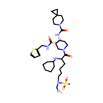 CS(=O)(=O)N(CCCCC(NC1CCCCC1)C(=O)N1CC[C@@H](NC(=O)N2CCC3(CC2)CC3)[C@@H](C(=O)NCc2cccs2)C1)CC(F)(F)F